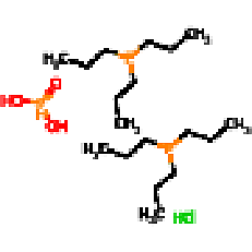 CCCP(CCC)CCC.CCCP(CCC)CCC.Cl.O=[PH](O)O